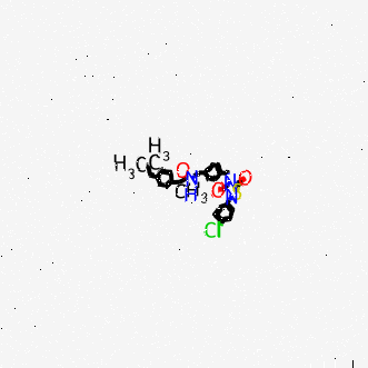 CC(C)Cc1ccc(C(C)C(=O)NCc2ccc(Cn3c(=O)sn(-c4ccc(Cl)cc4)c3=O)cc2)cc1